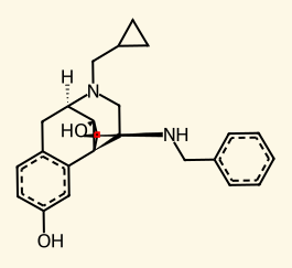 Oc1ccc2c(c1)[C@]13CCN(CC4CC4)[C@H](C2)[C@]1(O)C[C@H](NCc1ccccc1)C3